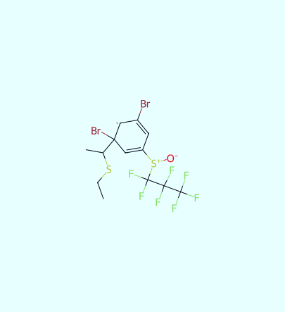 CCSC(C)C1(Br)[CH]C(Br)=CC([S+]([O-])C(F)(F)C(F)(F)C(F)(F)F)=C1